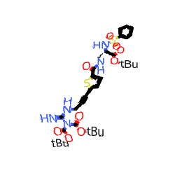 CC(C)(C)OC(=O)[C@H](CNC(=O)c1ccc(C#CCNC(=N)N(C(=O)OC(C)(C)C)C(=O)OC(C)(C)C)s1)NS(=O)(=O)c1ccccc1